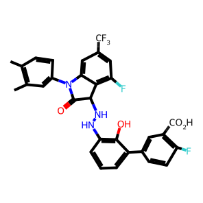 Cc1ccc(N2C(=O)C(NNc3cccc(-c4ccc(F)c(C(=O)O)c4)c3O)c3c(F)cc(C(F)(F)F)cc32)cc1C